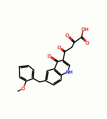 COc1ccccc1Cc1ccc2[nH]cc(C(=O)CC(=O)C(=O)O)c(=O)c2c1